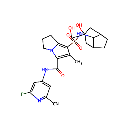 Cc1c(S(=O)(=O)NC2C3CCC2CC(O)(CO)C3)c2n(c1C(=O)Nc1cc(F)nc(C#N)c1)CCC2